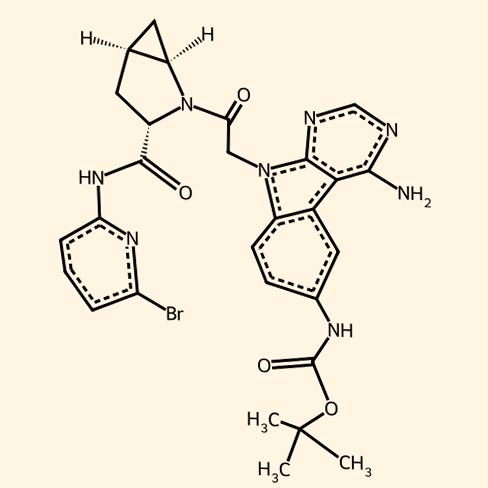 CC(C)(C)OC(=O)Nc1ccc2c(c1)c1c(N)ncnc1n2CC(=O)N1[C@@H]2C[C@@H]2C[C@H]1C(=O)Nc1cccc(Br)n1